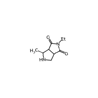 CCN1C(=O)C2CNC(C)C2C1=O